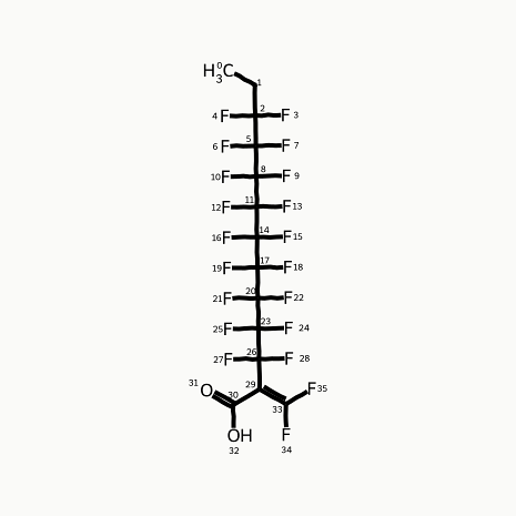 CCC(F)(F)C(F)(F)C(F)(F)C(F)(F)C(F)(F)C(F)(F)C(F)(F)C(F)(F)C(F)(F)C(C(=O)O)=C(F)F